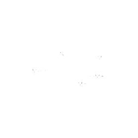 COCOc1c(N)cc(OC)c(OC)c1OC